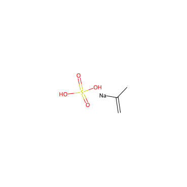 C=[C](C)[Na].O=S(=O)(O)O